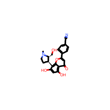 CN1CC[C@H](c2c(O)cc(O)c3c(=O)cc(-c4ccc(C#N)cc4)oc23)[C@H]1CO